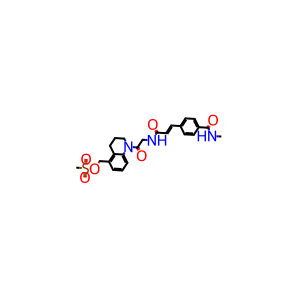 CNC(=O)c1ccc(C=CC(=O)NCC(=O)N2CCCc3c(COS(C)(=O)=O)cccc32)cc1